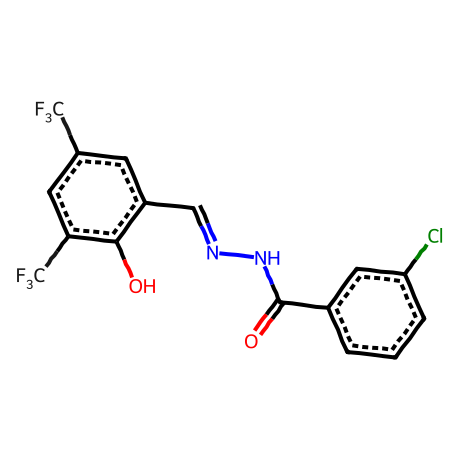 O=C(N/N=C/c1cc(C(F)(F)F)cc(C(F)(F)F)c1O)c1cccc(Cl)c1